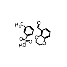 Cc1cccc(S(=O)(=O)O)c1.O=Cc1cccc2c1OCCO2